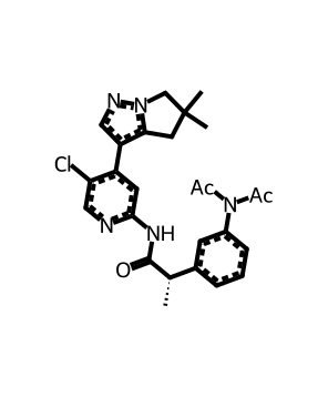 CC(=O)N(C(C)=O)c1cccc([C@H](C)C(=O)Nc2cc(-c3cnn4c3CC(C)(C)C4)c(Cl)cn2)c1